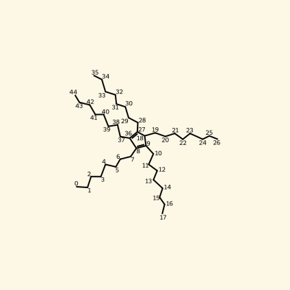 CCCCCCCCC1=C(CCCCCCCC)C(CCCCCCCC)C(CCCCCCCC)=C1CCCCCCCC